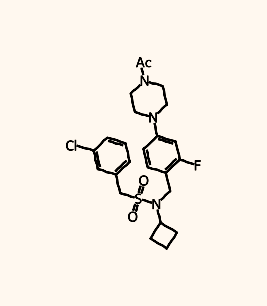 CC(=O)N1CCN(c2ccc(CN(C3CCC3)S(=O)(=O)Cc3cccc(Cl)c3)c(F)c2)CC1